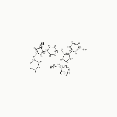 CCn1nc(CC2CCCCC2)cc1C1CCN(CC2CC(N(C)[C@H](CC(C)C)C(=O)O)CC2c2cccc(F)c2)CC1